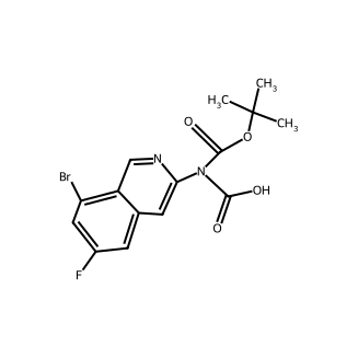 CC(C)(C)OC(=O)N(C(=O)O)c1cc2cc(F)cc(Br)c2cn1